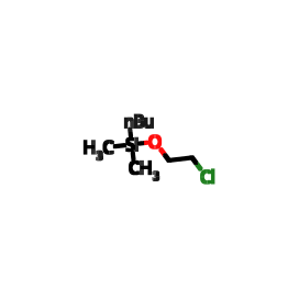 CCCC[Si](C)(C)OCCCl